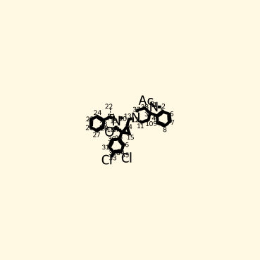 CC(=O)N(C)C1(c2ccccc2)CCN(CC2CC2(C(=O)N(C)[C@@H](C)c2ccccc2)c2ccc(Cl)c(Cl)c2)CC1